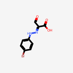 O=C/C(=N\Nc1ccc(Br)cc1)C(=O)O